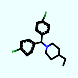 CCC1CCN(C(c2ccc(F)cc2)c2ccc(F)cc2)CC1